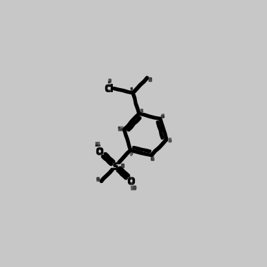 CC(Cl)c1cccc(S(C)(=O)=O)c1